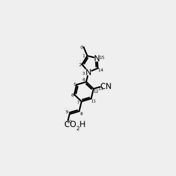 Cc1cn(-c2ccc(/C=C/C(=O)O)cc2C#N)cn1